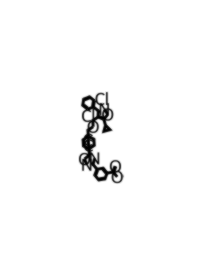 COC(=O)c1cccc(-c2noc(C34CCC(COCc5c(-c6c(Cl)cccc6Cl)noc5C5CC5)(CC3)CC4)n2)c1